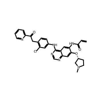 C=CC(=O)Nc1cc2c(Nc3ccc(CC(=O)c4ccccn4)c(Cl)c3)ncnc2cc1O[C@@H]1CCN(C)C1